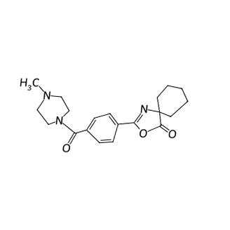 CN1CCN(C(=O)c2ccc(C3=NC4(CCCCC4)C(=O)O3)cc2)CC1